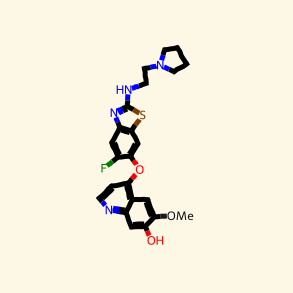 COc1cc2c(Oc3cc4sc(NCCN5CCCC5)nc4cc3F)ccnc2cc1O